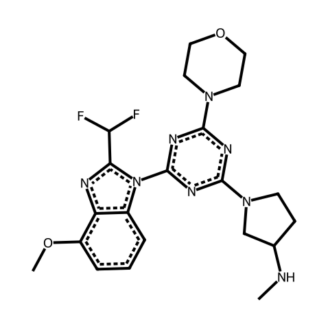 CNC1CCN(c2nc(N3CCOCC3)nc(-n3c(C(F)F)nc4c(OC)cccc43)n2)C1